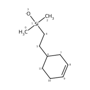 C[Si](C)([O])CCC1CC=CCC1